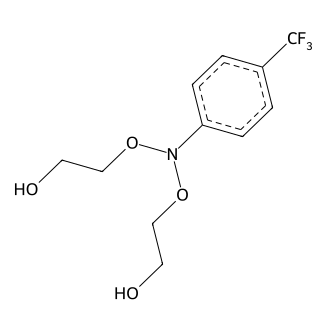 OCCON(OCCO)c1ccc(C(F)(F)F)cc1